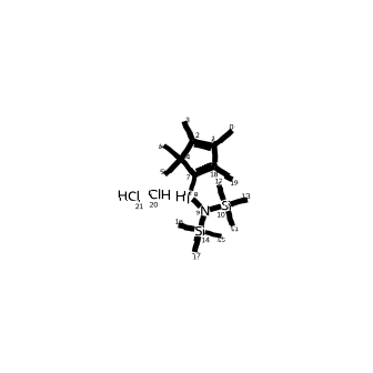 CC1=C(C)C(C)(C)[C]([Hf][N]([Si](C)(C)C)[Si](C)(C)C)=C1C.Cl.Cl